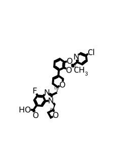 C[C@]1(c2ccc(Cl)cn2)Oc2cccc(C3=CC[C@@H](Cc4nc5c(F)cc(C(=O)O)cc5n4C[C@@H]4CCO4)OC3)c2O1